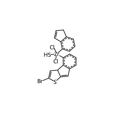 [SH][Zr]([Cl])([Cl])([c]1cccc2c1C=CC2)[c]1cccc2c1C1C=C(Br)SC1=C2